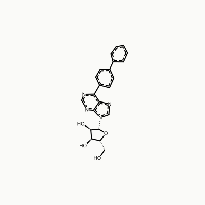 OC[C@H]1O[C@@H](n2cnc3c(-c4ccc(-c5ccccc5)cc4)ncnc32)[C@H](O)[C@@H]1O